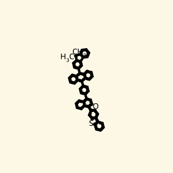 CC1(C)c2ccccc2-c2cc(-c3c4ccccc4c(-c4ccc(-c5cc6oc7cc8c(cc7c6c6ccccc56)sc5ccccc58)cc4)c4ccccc34)ccc21